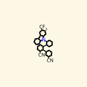 N#Cc1cccc(-c2c(C#N)cccc2-c2ccccc2-n2c3ccccc3c3cc(C(F)(F)F)ccc32)c1